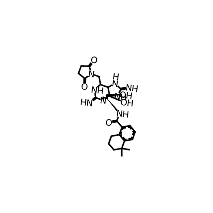 CC1(C)CCCc2c(C(=O)N[C@H]3CN4C(=N)NC(CN5C(=O)CCC5=O)C5NC(=N)NC54C3(O)O)cccc21